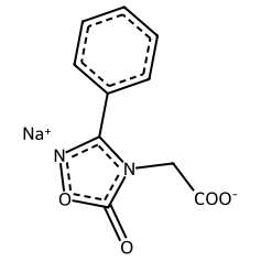 O=C([O-])Cn1c(-c2ccccc2)noc1=O.[Na+]